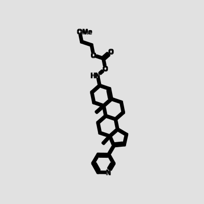 COCCOC(=O)ONC1C=C2CCC3C(CCC4(C)C(c5cccnc5)=CCC34)C2(C)CC1